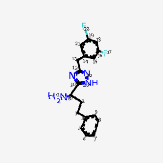 N[C@H](CCc1ccccc1)c1nc(Cc2cc(F)cc(F)c2)n[nH]1